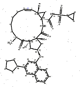 CN1CCCC/C=C\[C@@H]2C[C@@]2(C(=O)NS(=O)(=O)C2CC2)NC(=O)[C@@H]2C[C@@H](Oc3nc(N4CCCC4)nc4ccccc34)C[C@H]2C1=O